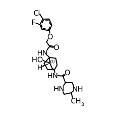 CC1CNC(C(=O)NC23CCC(NC(=O)COc4ccc(Cl)c(F)c4)(CC2)[C@@H](O)C3)CN1